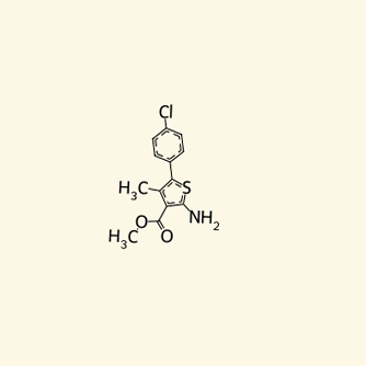 COC(=O)c1c(N)sc(-c2ccc(Cl)cc2)c1C